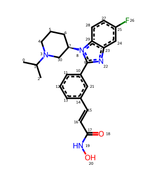 CC(C)N1CCC[C@@H](n2c(-c3cccc(C=CC(=O)NO)c3)nc3cc(F)ccc32)C1